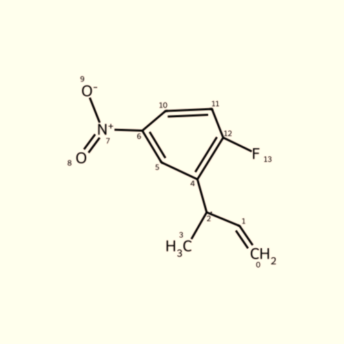 C=C[C](C)c1cc([N+](=O)[O-])ccc1F